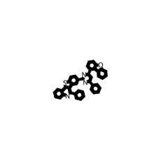 c1ccc(-c2cc(-c3cccc4oc5ccccc5c34)nc(-c3ccc4sc5c6ccccc6nc(-c6ccccc6)c5c4c3)n2)cc1